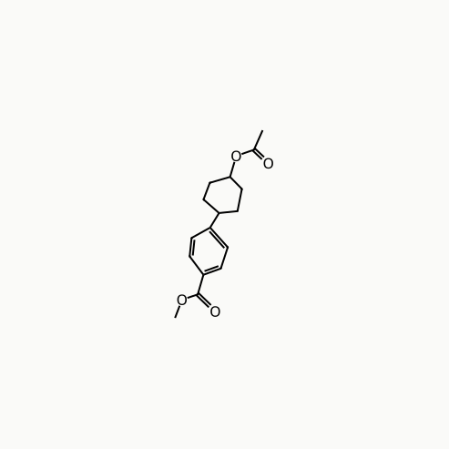 COC(=O)c1ccc(C2CCC(OC(C)=O)CC2)cc1